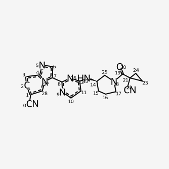 N#Cc1ccc2ncc(-c3nccc(N[C@@H]4CCCN(C(=O)C5(C#N)CC5)C4)n3)n2c1